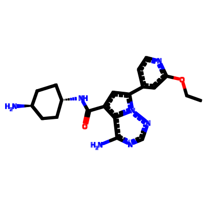 CCOc1cc(-c2cc(C(=O)N[C@H]3CC[C@H](N)CC3)c3c(N)ncnn23)ccn1